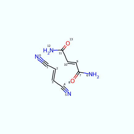 N#CC=CC#N.NC(=O)C=CC(N)=O